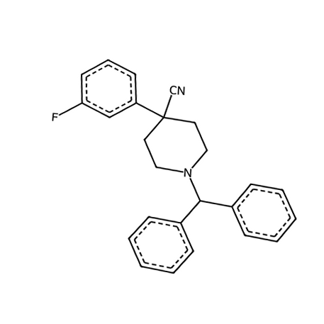 N#CC1(c2cccc(F)c2)CCN(C(c2ccccc2)c2ccccc2)CC1